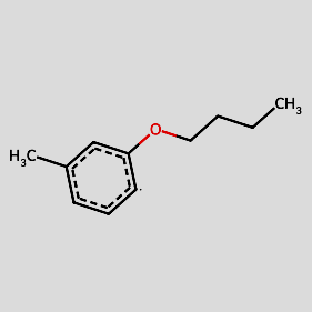 CCCCOc1[c]ccc(C)c1